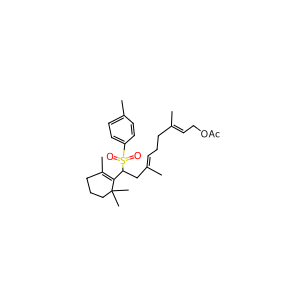 CC(=O)OCC=C(C)CCC=C(C)CC(C1=C(C)CCCC1(C)C)S(=O)(=O)c1ccc(C)cc1